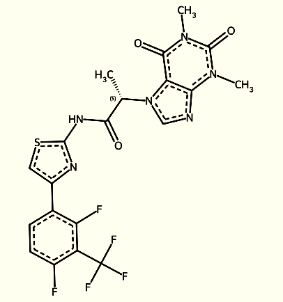 C[C@@H](C(=O)Nc1nc(-c2ccc(F)c(C(F)(F)F)c2F)cs1)n1cnc2c1c(=O)n(C)c(=O)n2C